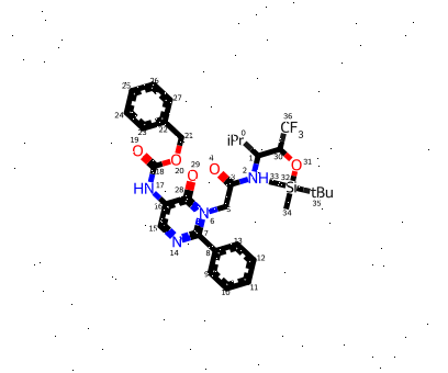 CC(C)C(NC(=O)Cn1c(-c2ccccc2)ncc(NC(=O)OCc2ccccc2)c1=O)C(O[Si](C)(C)C(C)(C)C)C(F)(F)F